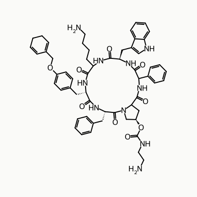 NCCCCC1NC(=O)[C@@H](Cc2c[nH]c3ccccc23)NC(=O)C(c2ccccc2)NC(=O)C2C[C@@H](OC(=O)NCCN)CN2C(=O)[C@H](Cc2ccccc2)NC(=O)[C@H](Cc2ccc(OCC3=CCCC=C3)cc2)NC1=O